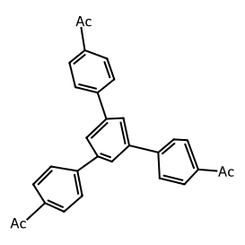 CC(=O)c1ccc(-c2cc(-c3ccc(C(C)=O)cc3)cc(-c3ccc(C(C)=O)cc3)c2)cc1